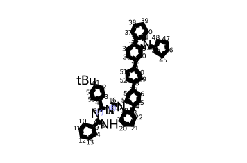 CC(C)(C)c1ccc(C(=N/C(=N)c2ccccc2)/N=C/n2c3ccccc3c3ccc(-c4ccc(-c5ccc6c7ccccc7n(-c7ccccc7)c6c5)cc4)cc32)cc1